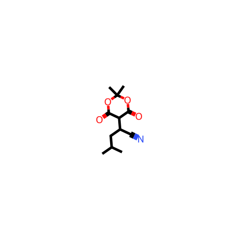 CC(C)CC(C#N)C1C(=O)OC(C)(C)OC1=O